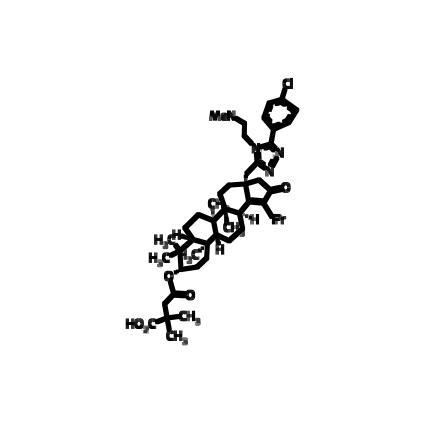 CNCCn1c(C[C@@]23CC[C@]4(C)[C@H](CC[C@@H]5[C@@]6(C)CC[C@H](OC(=O)CC(C)(C)C(=O)O)C(C)(C)[C@@H]6CC[C@]54C)C2=C(C(C)C)C(=O)C3)nnc1-c1ccc(Cl)cc1